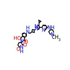 CN1CCC(Nc2ccc(-c3cn(C4CC(CNc5ccc6c(c5)C(=O)N(C5CCC(=O)NC5=O)C6O)C4)nc3C3CC3)nc2)CC1